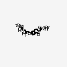 CCCNC(=O)CN1CCc2cc(OCC(CNC(=O)OC(C)(C)C)=C(F)F)ccc2C1=O